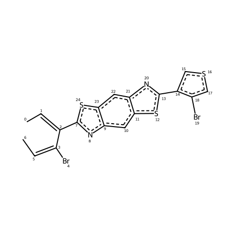 C/C=C(\C(Br)=C/C)c1nc2cc3sc(-c4cscc4Br)nc3cc2s1